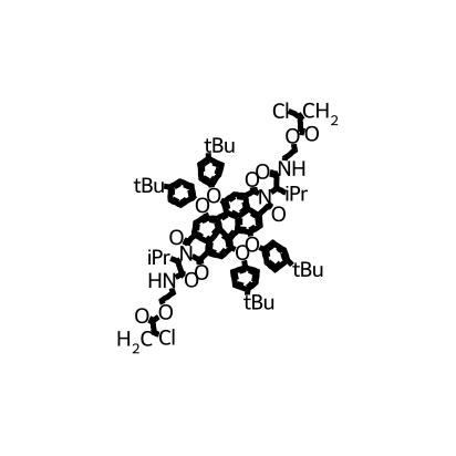 C=C(Cl)C(=O)OCCNC(=O)C(C(C)C)N1C(=O)c2cc(Oc3ccc(C(C)(C)C)cc3)c3c4c(Oc5ccc(C(C)(C)C)cc5)cc5c6c(cc(Oc7ccc(C(C)(C)C)cc7)c(c7c(Oc8ccc(C(C)(C)C)cc8)cc(c2c37)C1=O)c64)C(=O)N(C(C(=O)NCCOC(=O)C(=C)Cl)C(C)C)C5=O